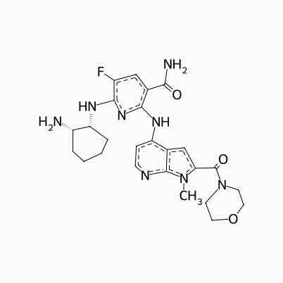 Cn1c(C(=O)N2CCOCC2)cc2c(Nc3nc(N[C@@H]4CCCC[C@@H]4N)c(F)cc3C(N)=O)ccnc21